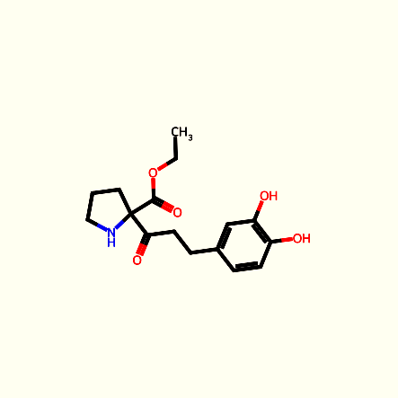 CCOC(=O)C1(C(=O)CCc2ccc(O)c(O)c2)CCCN1